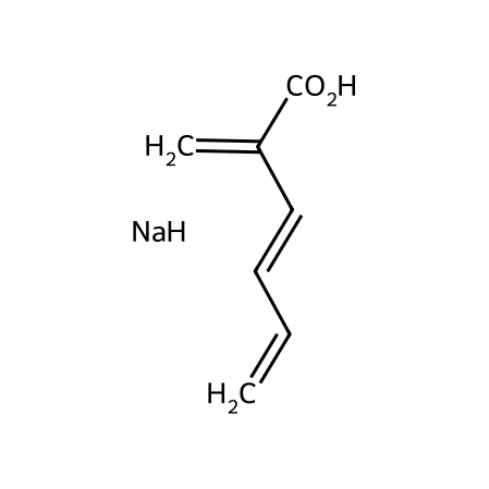 C=CC=CC(=C)C(=O)O.[NaH]